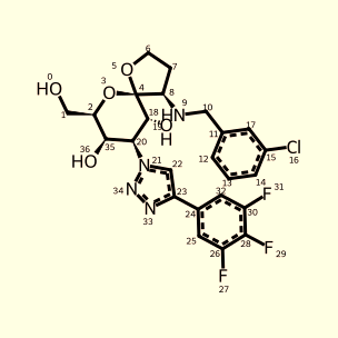 OC[C@H]1O[C@]2(OCC[C@H]2NCc2cccc(Cl)c2)[C@H](O)[C@@H](n2cc(-c3cc(F)c(F)c(F)c3)nn2)[C@H]1O